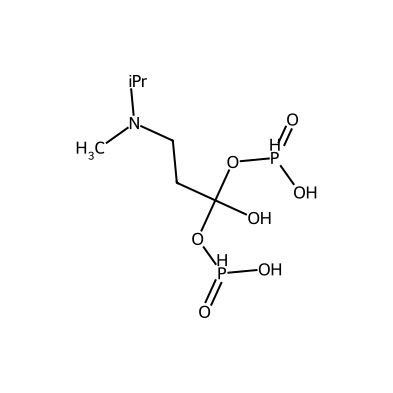 CC(C)N(C)CCC(O)(O[PH](=O)O)O[PH](=O)O